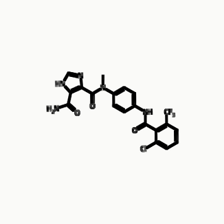 CN(C(=O)c1nc[nH]c1C(N)=O)c1ccc(NC(=O)c2c(Cl)cccc2C(F)(F)F)cc1